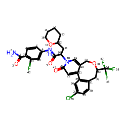 NC(=O)c1ccc(NC(=O)C(CC2CCCCO2)n2cc3c(cc2=O)-c2cc(Cl)ccc2CC(C(F)(F)F)OC3)cc1F